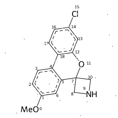 COc1ccc2c(c1)C1(CNC1)Oc1cc(Cl)ccc1-2